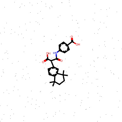 CC1(C)CCC(C)(C)c2cc(C(C(=O)O)C(=O)Nc3ccc(C(=O)O)cc3)ccc21